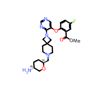 COC(=O)c1cc(F)ccc1Oc1cncnc1N1CC2(CCN(C[C@@H]3CC[C@@H](N)CO3)CC2)C1